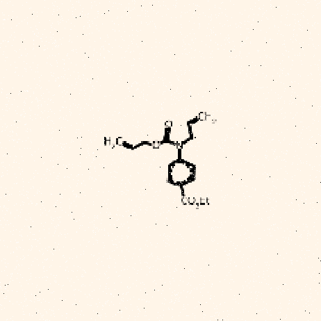 C=C[CH]N(C(=O)OCC=C)c1ccc(C(=O)OCC)cc1